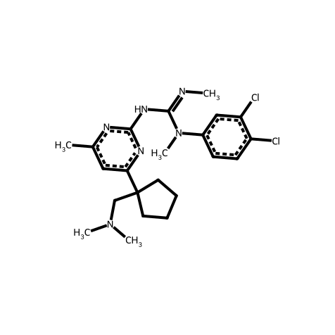 C/N=C(/Nc1nc(C)cc(C2(CN(C)C)CCCC2)n1)N(C)c1ccc(Cl)c(Cl)c1